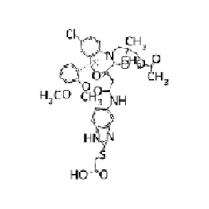 COc1cccc([C@H]2O[C@H](CC(=O)Nc3ccc4[nH]c(SCC(=O)O)nc4c3)C(=O)N(CC(C)(C)COC(C)=O)c3ccc(Cl)cc32)c1OC